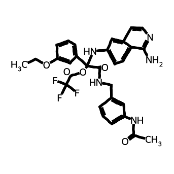 CCOc1cccc(C(Nc2ccc3c(N)nccc3c2)(OC(=O)C(F)(F)F)C(=O)NCc2cccc(NC(C)=O)c2)c1